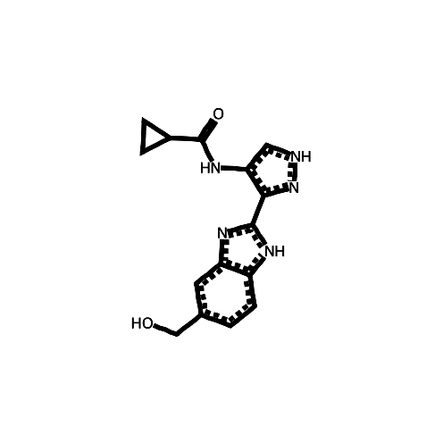 O=C(Nc1c[nH]nc1-c1nc2cc(CO)ccc2[nH]1)C1CC1